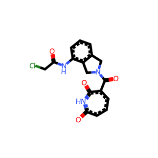 O=C(CCl)Nc1cccc2c1CN(C(=O)c1cccc(=O)[nH]c1=O)C2